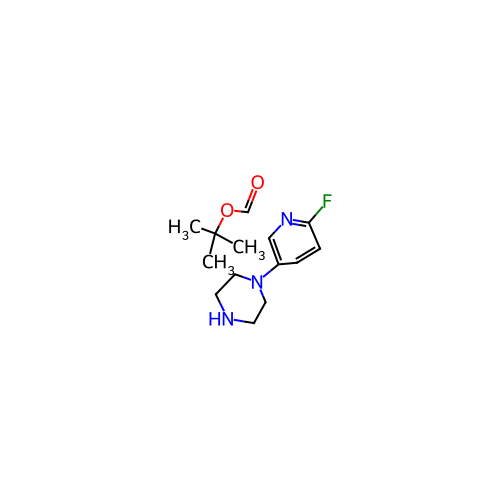 CC(C)(C)OC=O.Fc1ccc(N2CCNCC2)cn1